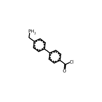 O=C(Cl)c1ccc(-c2ccc(CP)cc2)cc1